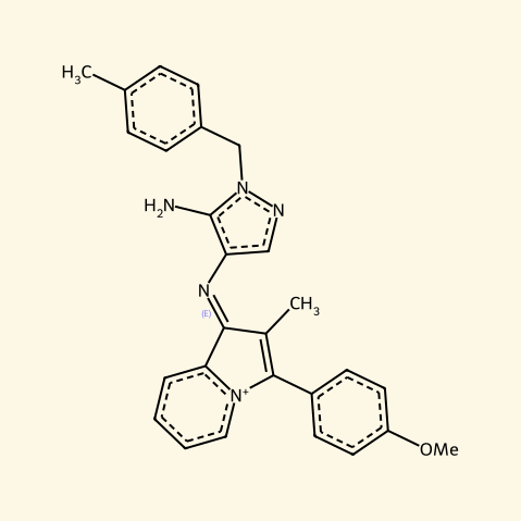 COc1ccc(C2=C(C)/C(=N\c3cnn(Cc4ccc(C)cc4)c3N)c3cccc[n+]32)cc1